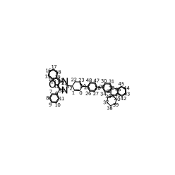 C1=CC(c2nc(-c3ccccc3)c3oc4ccccc4c3n2)CC=C1c1ccc(-c2ccc3c(c2)C2(CCCCC2)c2ccccc2-3)cc1